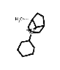 CC1(C)C2CC[C@]1(C)CN(C1CCCCC1)C2